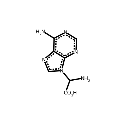 Nc1ncnc2c1ncn2C(N)C(=O)O